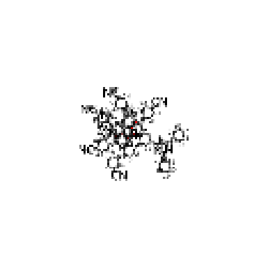 N#Cc1cccc(-c2ccc(-c3cc(-c4nc(-c5ccccc5)nc(-c5ccccc5)n4)ccc3-n3c4ccc(-c5ccc(C#N)cc5C#N)cc4c4cc(-c5ccc(C#N)cc5C#N)ccc43)c(-n3c4ccc(-c5ccc(C#N)cc5C#N)cc4c4cc(-c5ccc(C#N)cc5C#N)ccc43)c2)c1